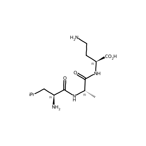 CC(C)C[C@H](N)C(=O)N[C@@H](C)C(=O)N[C@@H](CCN)C(=O)O